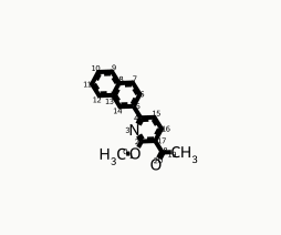 COc1nc(-c2ccc3ccccc3c2)ccc1C(C)=O